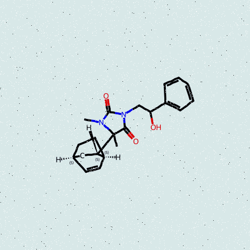 CN1C(=O)N(CC(O)c2ccccc2)C(=O)C1(C)[C@H]1C[C@H]2C=C[C@@H]1CC2